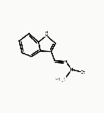 CCN(N=Cc1c[nH]c2ccccc12)C(=O)O